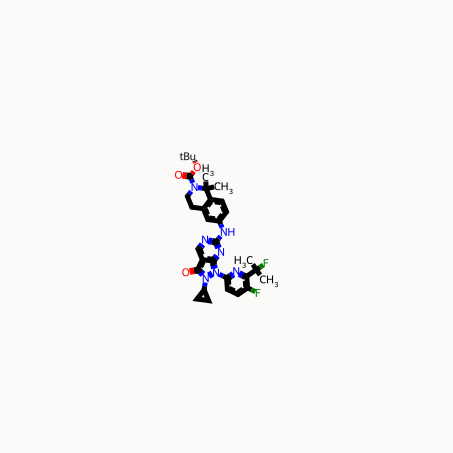 CC(C)(C)OC(=O)N1CCc2cc(Nc3ncc4c(=O)n(C5CC5)n(-c5ccc(F)c(C(C)(C)F)n5)c4n3)ccc2C1(C)C